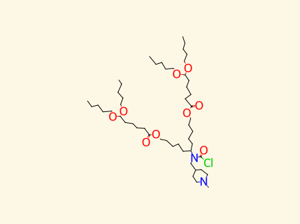 CCCCCOC(CCCCC(=O)OCCCCCC(CCCCCOC(=O)CCCCC(OCCCCC)OCCCCC)N(CC1CCN(C)CC1)C(=O)Cl)OCCCCC